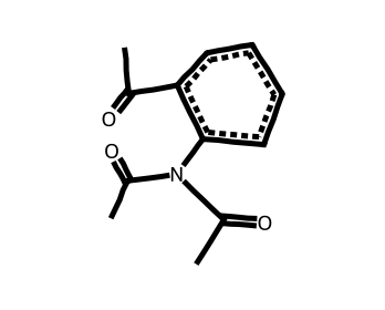 CC(=O)c1ccccc1N(C(C)=O)C(C)=O